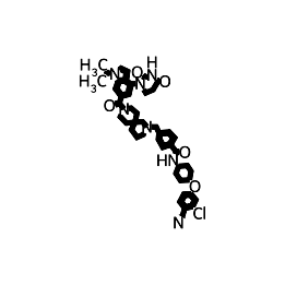 CC(C)n1ccc2c(N3CCC(=O)NC3=O)cc(C(=O)N3CCC4(CCCN(Cc5ccc(C(=O)NC6CCC(Oc7ccc(C#N)c(Cl)c7)CC6)cc5)C4)CC3)cc21